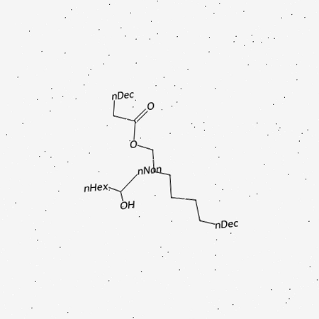 CCCCCCCCCC(O)CCCCCC.CCCCCCCCCCCCCCCCOC(=O)CCCCCCCCCCC